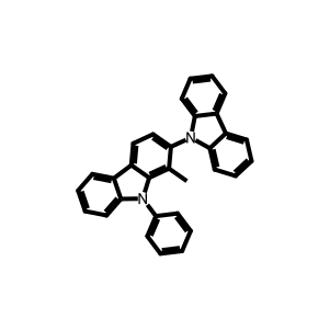 Cc1c(-n2c3ccccc3c3ccccc32)ccc2c3ccccc3n(-c3ccccc3)c12